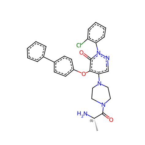 C[C@H](N)C(=O)N1CCN(c2cnn(-c3ccccc3Cl)c(=O)c2Oc2ccc(-c3ccccc3)cc2)CC1